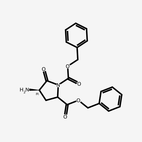 N[C@@H]1CC(C(=O)OCc2ccccc2)N(C(=O)OCc2ccccc2)C1=O